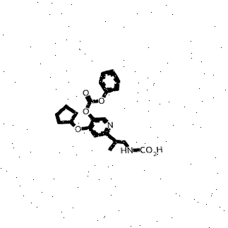 CC(CNC(=O)O)c1cc(OC2CCCC2)c(OC(=O)Oc2ccccc2)cn1